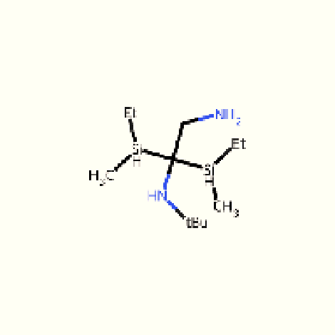 CC[SiH](C)C(CN)(NC(C)(C)C)[SiH](C)CC